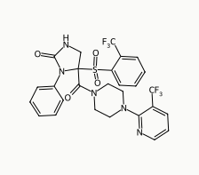 O=C1NCC(C(=O)N2CCN(c3ncccc3C(F)(F)F)CC2)(S(=O)(=O)c2ccccc2C(F)(F)F)N1c1ccccc1